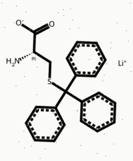 N[C@@H](CSC(c1ccccc1)(c1ccccc1)c1ccccc1)C(=O)[O-].[Li+]